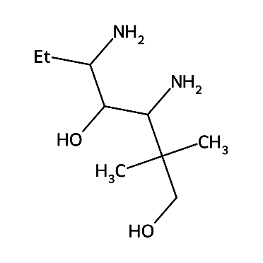 CCC(N)C(O)C(N)C(C)(C)CO